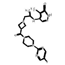 CC(CN1CC(C(=O)N2CCN(c3ncc(F)cn3)CC2)C1)Nc1cn[nH]c(=O)c1C(F)(F)F